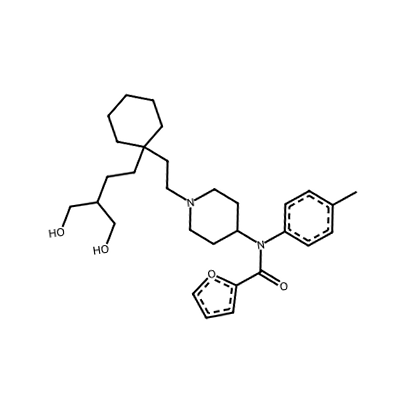 Cc1ccc(N(C(=O)c2ccco2)C2CCN(CCC3(CCC(CO)CO)CCCCC3)CC2)cc1